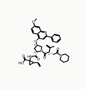 C=CC1CC1(NC(=O)[C@@H]1C[C@@H](Oc2cc(-c3ccccc3)nc3cc(OC)ccc23)CN1C(=O)[C@@H](CC(=O)N1CCCCC1)C(=C)C)C(=O)O